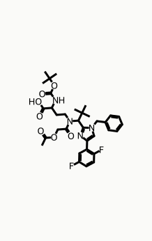 CC(=O)OCC(=O)N(CCC(NC(=O)OC(C)(C)C)C(=O)O)C(c1nc(-c2cc(F)ccc2F)cn1Cc1ccccc1)C(C)(C)C